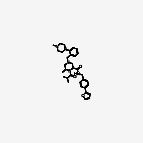 CC(C)C(=O)N1C(C)CN(Cc2ccccc2N2CCN(C)CC2)CC1C(=O)NCc1ccc(-c2ccco2)cc1